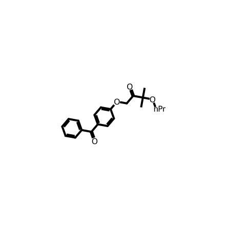 CCCOC(C)(C)C(=O)COc1ccc(C(=O)c2ccccc2)cc1